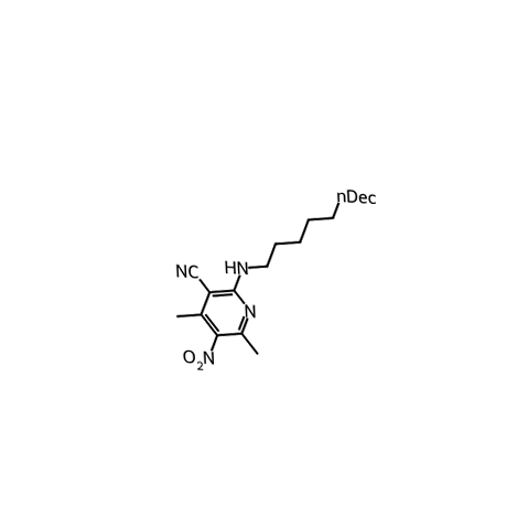 CCCCCCCCCCCCCCCNc1nc(C)c([N+](=O)[O-])c(C)c1C#N